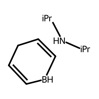 B1C=CCC=C1.CC(C)NC(C)C